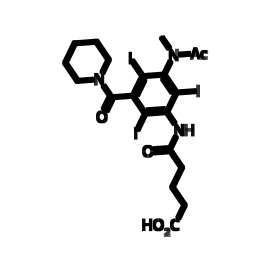 CC(=O)N(C)c1c(I)c(NC(=O)CCCC(=O)O)c(I)c(C(=O)N2CCCCC2)c1I